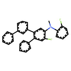 CN(c1ccccc1F)c1cc(-c2cccc(-c3ccccc3)c2)c(-c2ccccc2)cc1F